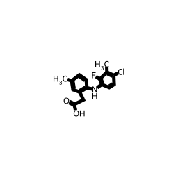 Cc1ccc(Nc2ccc(Cl)c(C)c2F)c(CC(=O)O)c1